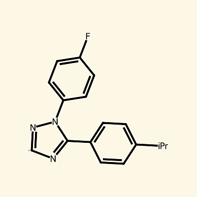 CC(C)c1ccc(-c2n[c]nn2-c2ccc(F)cc2)cc1